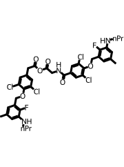 CCCNc1cc(C)cc(COc2c(Cl)cc(CC(=O)OC(=O)CNC(=O)c3cc(Cl)c(OCc4cc(C)cc(NCCC)c4F)c(Cl)c3)cc2Cl)c1F